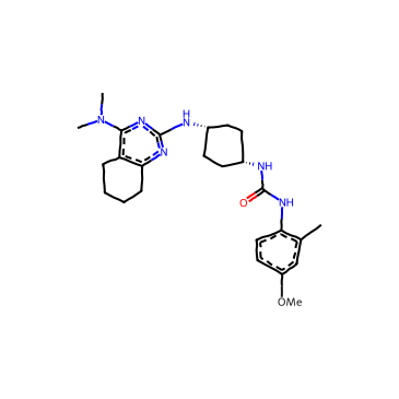 COc1ccc(NC(=O)N[C@H]2CC[C@@H](Nc3nc4c(c(N(C)C)n3)CCCC4)CC2)c(C)c1